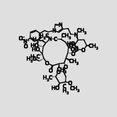 CC[C@H]1OC(=O)[C@H](C)[C@@H](O[C@H]2C[C@@](C)(OC)[C@@H](O)[C@H](C)O2)[C@H](C)[C@@H](O[C@@H]2O[C@H](C)C[C@H](N(C)CCc3cn(CCc4ccc([N+](=O)[O-])cc4)cn3)[C@H]2O)[C@](C)(O)C[C@@H](C)CN(C)[C@H](C)[C@@H](O)[C@]1(C)O